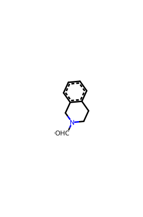 O=[C]N1CCc2ccccc2C1